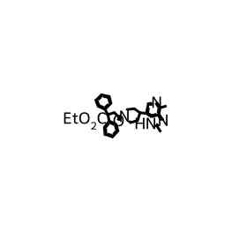 CCOC(=O)C(CC(=O)N1CCC(c2cnc(C)c3nc(C)[nH]c23)CC1)(c1ccccc1)c1ccccc1